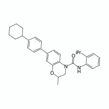 CC1CN(C(=O)Nc2ccccc2C(C)C)c2ccc(-c3ccc(C4CCCCC4)cc3)cc2O1